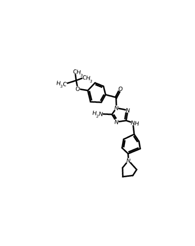 CC(C)(C)Oc1ccc(C(=O)n2nc(Nc3ccc(N4CCCC4)cc3)nc2N)cc1